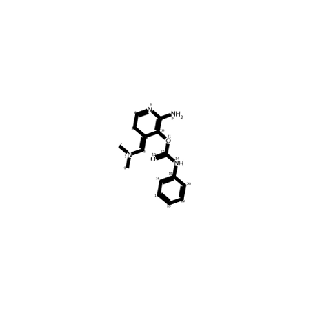 CN(C)C=C1CC=NC(N)=C1OC(=O)Nc1ccccc1